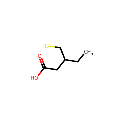 CCC(CS)CC(=O)O